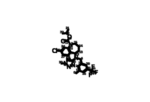 Cc1cc(CN(c2nnn(C)n2)C2CCCN(C(=O)OC(C)C)c3cc(Cl)ccc32)cc(C(F)(F)F)c1